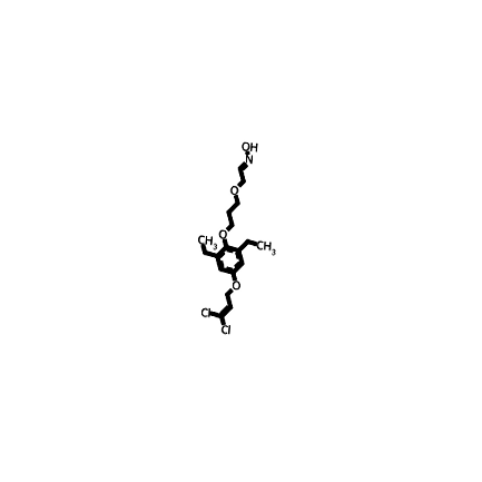 CCc1cc(OCC=C(Cl)Cl)cc(CC)c1OCCCOCC=NO